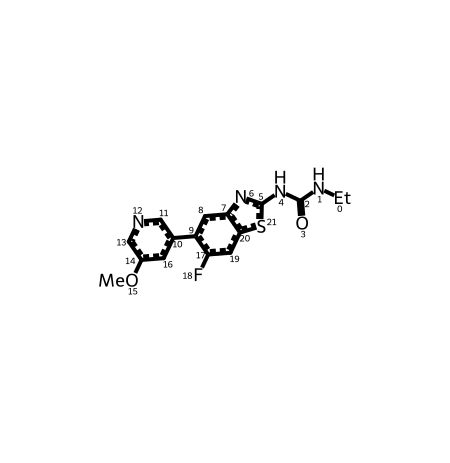 CCNC(=O)Nc1nc2cc(-c3cncc(OC)c3)c(F)cc2s1